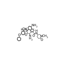 Cc1cc(Oc2ccccc2)ccc1C1(N)C(=O)C(N)c2c(C(=O)NC3CCC(=O)N(C)C3)sc3c(N)ccc1c23